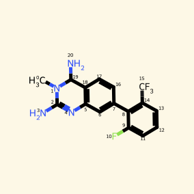 CN1C(N)=Nc2cc(-c3c(F)cccc3C(F)(F)F)ccc2C1N